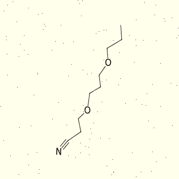 CCCOCCCOCCC#N